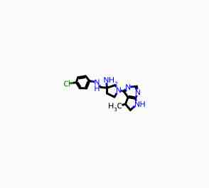 CC1CNc2ncnc(N3CCC(N)(CNc4ccc(Cl)cc4)C3)c21